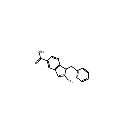 COC(=O)c1ccc2c(c1)cc(C(F)(F)F)n2Cc1ccccc1